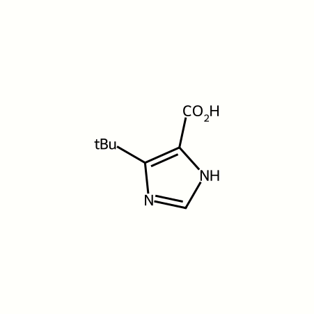 CC(C)(C)c1nc[nH]c1C(=O)O